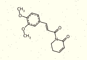 COc1ccc(C=CC(=O)N2CCC=CC2=O)cc1OC